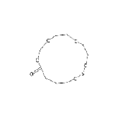 O=C1CCCCSCCCCCCCCO1